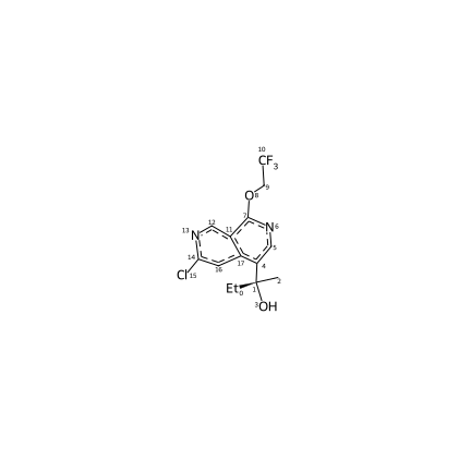 CC[C@@](C)(O)c1cnc(OCC(F)(F)F)c2cnc(Cl)cc12